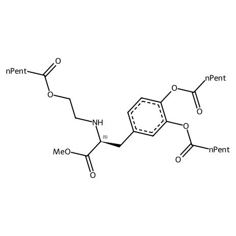 CCCCCC(=O)OCCN[C@@H](Cc1ccc(OC(=O)CCCCC)c(OC(=O)CCCCC)c1)C(=O)OC